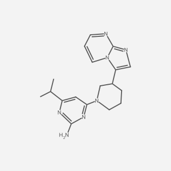 CC(C)c1cc(N2CCCC(c3cnc4ncccn34)C2)nc(N)n1